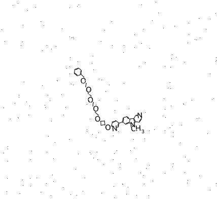 Cn1c2ccncc2c2ccc(-c3ccc(O[C@H]4C[C@H](OCCOCCOCCOCCOCc5ccccc5)C4)nc3)cc21